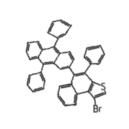 Brc1csc2c(-c3ccccc3)c(-c3ccc4c(-c5ccccc5)c5ccccc5c(-c5ccccc5)c4c3)c3ccccc3c12